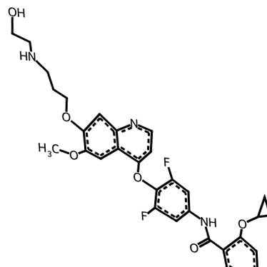 COc1cc2c(Oc3c(F)cc(NC(=O)c4cnccc4OC4CC4)cc3F)ccnc2cc1OCCCNCCO